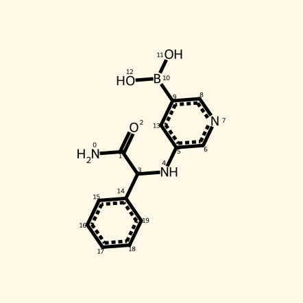 NC(=O)C(Nc1cncc(B(O)O)c1)c1ccccc1